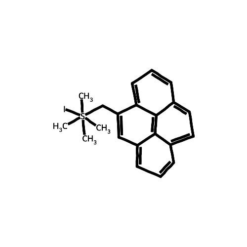 CS(C)(C)(C)(I)Cc1cc2cccc3ccc4cccc1c4c32